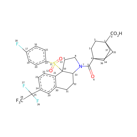 O=C(O)C12CCC(C(=O)N3CCC4(S(=O)(=O)c5ccc(F)cc5)c5ccc(C(F)(F)C(F)(F)F)cc5CCC34)(CC1)CC2